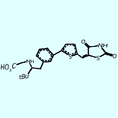 CC(C)(C)C(Cc1cccc(-c2ccc(/C=C3/SC(=O)NC3=O)s2)c1)NC(=O)O